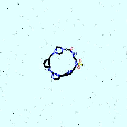 CS(=O)(=O)N1CCNC(=O)CN2CCN(CC2)Cc2cccc(c2)Nc2nccc(n2)-c2ccc(nc2)C1